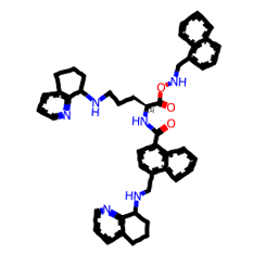 O=C(N[C@@H](CCCNC1CCCc2cccnc21)C(=O)ONCc1cccc2ccccc12)c1ccc(CNC2CCCc3cccnc32)c2ccccc12